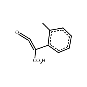 Cc1ccccc1C(=C=O)C(=O)O